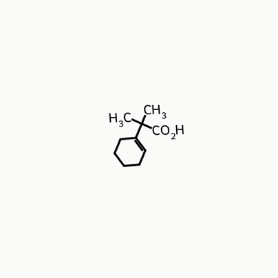 CC(C)(C(=O)O)C1=CCCCC1